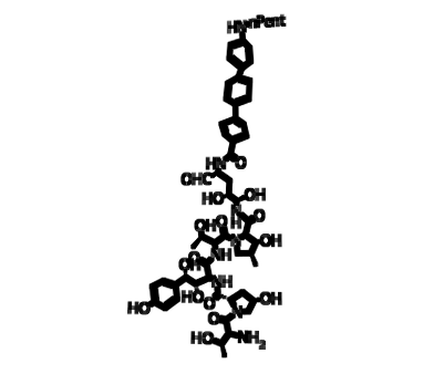 CCCCCNc1ccc(-c2ccc(-c3ccc(C(=O)N[C@H](C=O)C[C@@H](O)[C@@H](O)NC(=O)C4[C@@H](O)[C@@H](C)CN4C(=O)C(NC(=O)C(NC(=O)[C@@H]4C[C@@H](O)CN4C(=O)C(N)[C@@H](C)O)[C@H](O)[C@@H](O)c4ccc(O)cc4)[C@@H](C)O)cc3)cc2)cc1